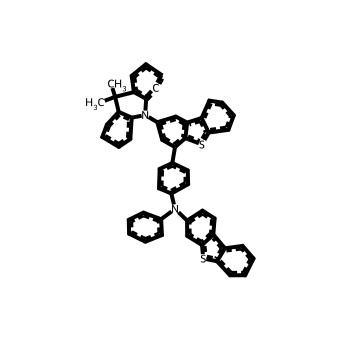 CC1(C)c2ccccc2N(c2cc(-c3ccc(N(c4ccccc4)c4ccc5c(c4)sc4ccccc45)cc3)c3sc4ccccc4c3c2)c2ccccc21